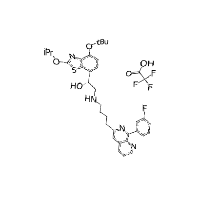 CC(C)Oc1nc2c(OC(C)(C)C)ccc([C@@H](O)CNCCCCc3cc4cccnc4c(-c4cccc(F)c4)n3)c2s1.O=C(O)C(F)(F)F